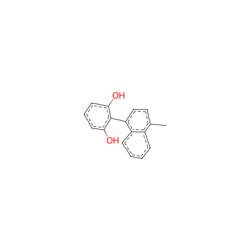 Cc1ccc(-c2c(O)cccc2O)c2ccccc12